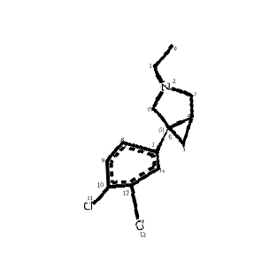 CCN1CC2C[C@]2(c2ccc(Cl)c(Cl)c2)C1